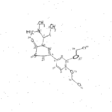 CCC(N(C)C)N1N=C(c2ccc(OCCl)c(OCCl)c2)CSC1=O